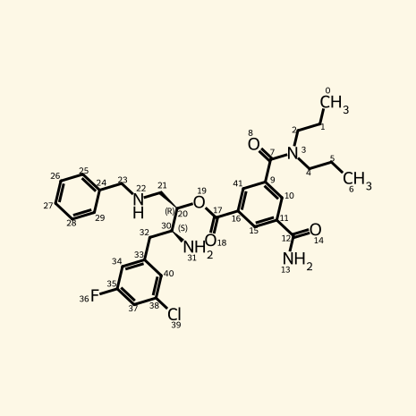 CCCN(CCC)C(=O)c1cc(C(N)=O)cc(C(=O)O[C@H](CNCc2ccccc2)[C@@H](N)Cc2cc(F)cc(Cl)c2)c1